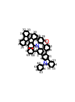 c1ccc(-c2ccccc2N(c2cccc3c2-c2ccccc2C32c3ccccc3-c3ccccc32)c2cccc3oc4ccc(-c5ccc6c(c5)c5ccccc5n6-c5ccccc5)cc4c23)cc1